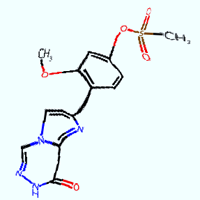 COc1cc(OS(C)(=O)=O)ccc1-c1cn2cn[nH]c(=O)c2n1